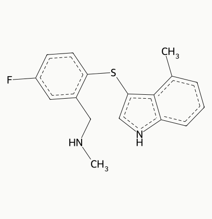 CNCc1cc(F)ccc1Sc1c[nH]c2cccc(C)c12